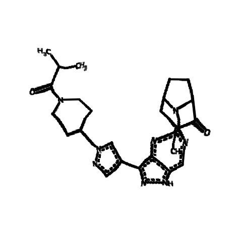 CC(C)C(=O)N1CCC(n2cc(-c3n[nH]c4cnc(N5C6CCC5C(=O)N(C)C6)nc34)cn2)CC1